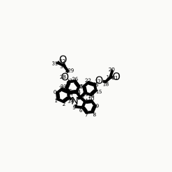 c1ccc(N2Cc3ccccc3C2(c2ccc(OCC3CO3)cc2)c2ccc(OCC3CO3)cc2)cc1